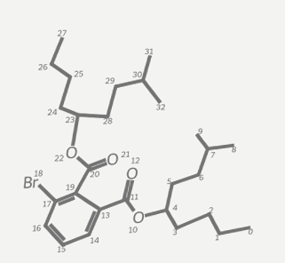 CCCCC(CCC(C)C)OC(=O)c1cccc(Br)c1C(=O)OC(CCCC)CCC(C)C